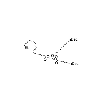 CC/C=C\C/C=C\C/C=C\C/C=C\C/C=C\CCCCCC(=O)OC[C@@H](COC(=O)CCCCCCCCCCCCCCCC)OC(=O)CCCCCCCCCCCCCCCCCCCC